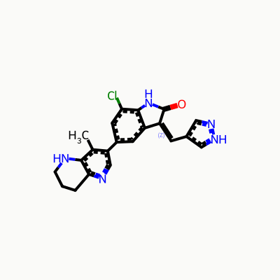 Cc1c(-c2cc(Cl)c3c(c2)/C(=C/c2cn[nH]c2)C(=O)N3)cnc2c1NCCC2